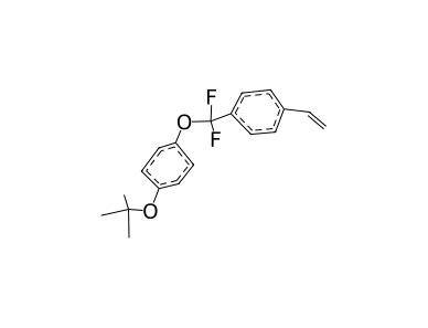 C=Cc1ccc(C(F)(F)Oc2ccc(OC(C)(C)C)cc2)cc1